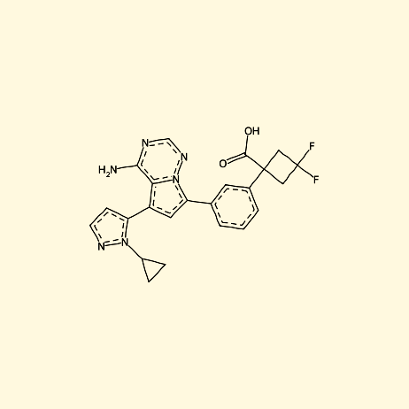 Nc1ncnn2c(-c3cccc(C4(C(=O)O)CC(F)(F)C4)c3)cc(-c3ccnn3C3CC3)c12